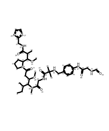 CCC(C)C(C(CC(=O)N1CCCC1C(OC)C(C)C(=O)NCc1nccs1)OC)N(C)C(=O)CNC(=O)C(C)(C)NCc1ccc(NC(=O)CNC=O)cc1